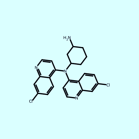 NC1CCCC(N(c2ccnc3cc(Cl)ccc23)c2ccnc3cc(Cl)ccc23)C1